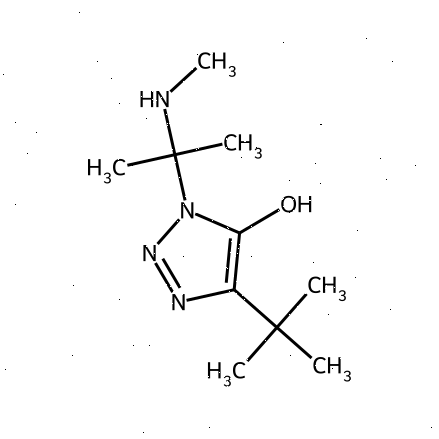 CNC(C)(C)n1nnc(C(C)(C)C)c1O